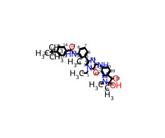 CCn1cc(-c2cccc(NC(=O)c3ccc(C(C)(C)C)cc3)c2C)nc(Nc2ccc(C(=O)C(C)(O)NC)cc2)c1=O